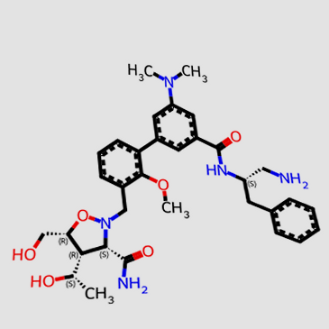 COc1c(CN2O[C@@H](CO)[C@@H]([C@H](C)O)[C@H]2C(N)=O)cccc1-c1cc(C(=O)N[C@H](CN)Cc2ccccc2)cc(N(C)C)c1